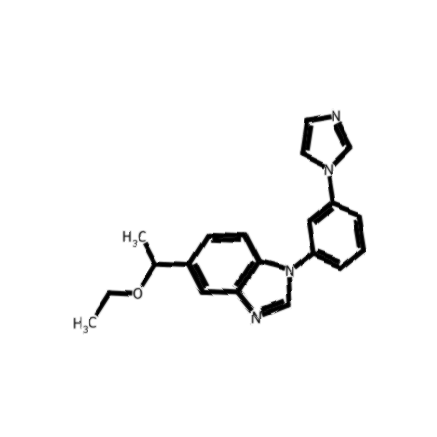 CCOC(C)c1ccc2c(c1)ncn2-c1cccc(-n2ccnc2)c1